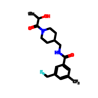 CC(C)(C)C(O)C(=O)N1CCC(CNC(=O)c2cc(CF)cc(C(F)(F)F)c2)CC1